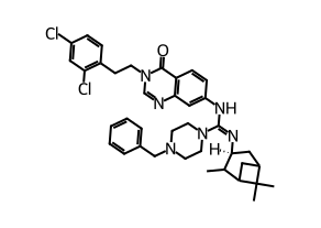 CC1C2CC(C[C@@H]1/N=C(/Nc1ccc3c(=O)n(CCc4ccc(Cl)cc4Cl)cnc3c1)N1CCN(Cc3ccccc3)CC1)C2(C)C